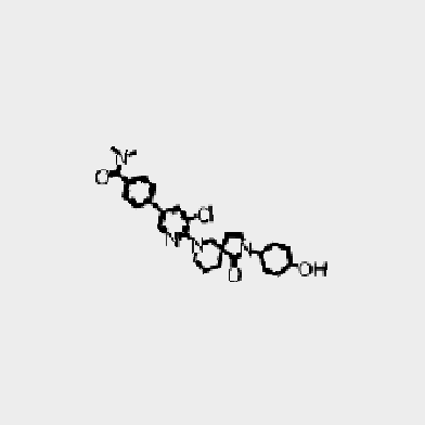 CN(C)C(=O)c1ccc(-c2cnc(N3CCCC4(CCN(C5CCC(O)CC5)C4=O)C3)c(Cl)c2)cc1